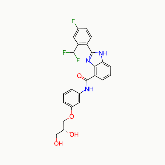 O=C(Nc1cccc(OC[C@H](O)CO)c1)c1cccc2[nH]c(-c3ccc(F)cc3C(F)F)nc12